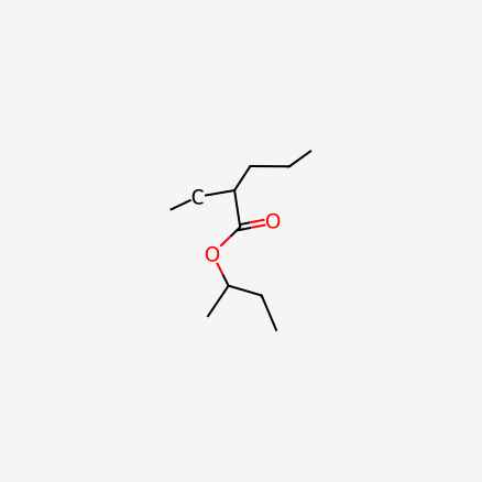 CCCC(CC)C(=O)OC(C)CC